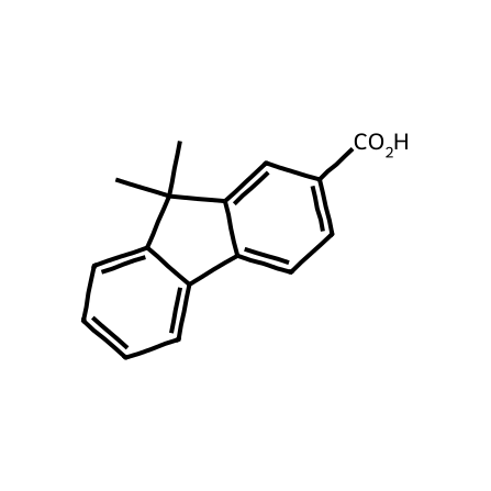 CC1(C)c2ccccc2-c2ccc(C(=O)O)cc21